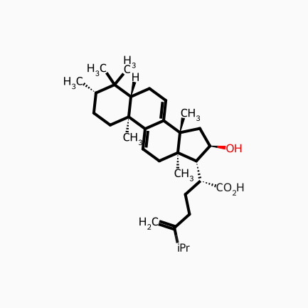 C=C(CC[C@@H](C(=O)O)[C@H]1[C@H](O)C[C@@]2(C)C3=CC[C@H]4C(C)(C)[C@@H](C)CC[C@]4(C)C3=CC[C@]12C)C(C)C